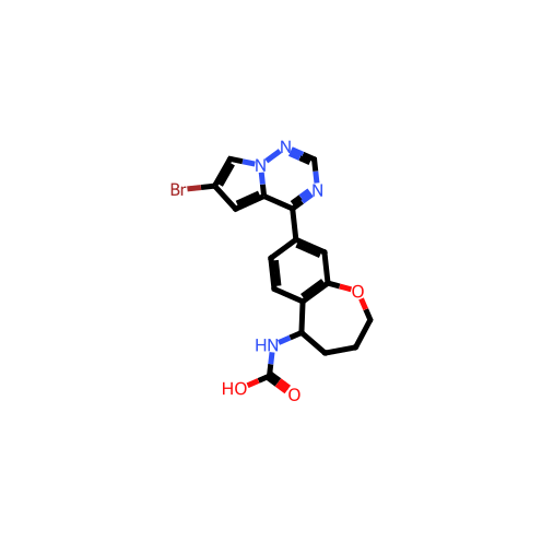 O=C(O)NC1CCCOc2cc(-c3ncnn4cc(Br)cc34)ccc21